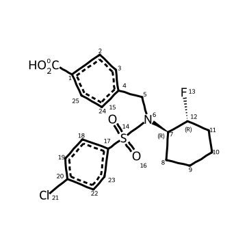 O=C(O)c1ccc(CN([C@@H]2CCCC[C@H]2F)S(=O)(=O)c2ccc(Cl)cc2)cc1